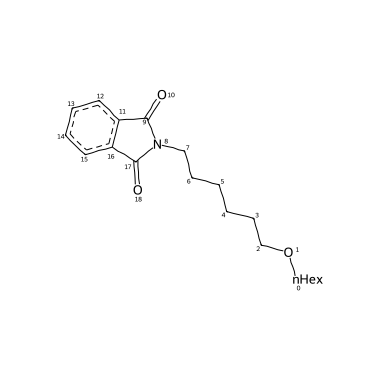 CCCCCCOCCCCCCN1C(=O)c2ccccc2C1=O